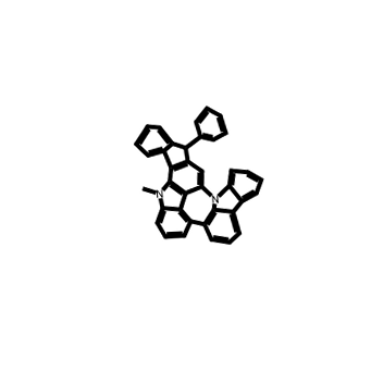 Cn1c2cccc3c4cccc5c6ccccc6n(c6cc7c(c1c6c32)-c1ccccc1C7c1ccccc1)c45